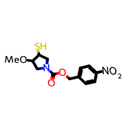 COC1CN(C(=O)OCc2ccc([N+](=O)[O-])cc2)CC1S